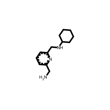 NCc1cccc(CNC2CCCCC2)n1